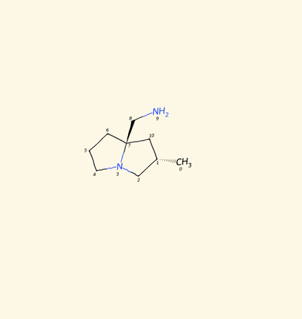 C[C@@H]1CN2CCC[C@]2(CN)C1